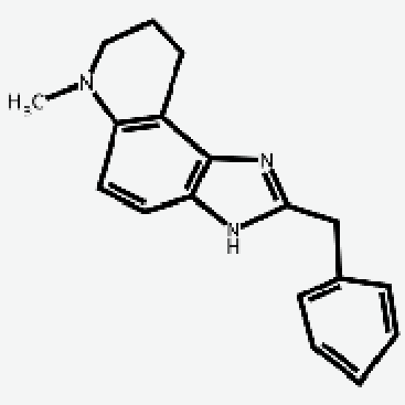 CN1CCCc2c1ccc1[nH]c(Cc3ccccc3)nc21